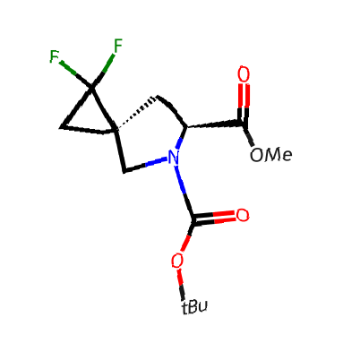 COC(=O)[C@@H]1C[C@]2(CN1C(=O)OC(C)(C)C)CC2(F)F